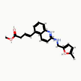 COC(=O)CC=Cc1cccc2nc(NCc3ccc(C)o3)ccc12